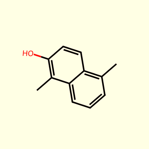 Cc1cccc2c(C)c(O)ccc12